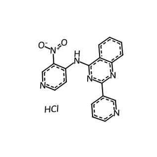 Cl.O=[N+]([O-])c1cnccc1Nc1nc(-c2cccnc2)nc2ccccc12